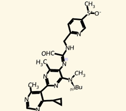 CC[C@H](C)N(C)c1nc(-c2c(C)ncnc2C2CC2)nc(C)c1/N=C(\C=O)NCc1ccc([S+](C)[O-])cn1